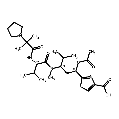 CC(=O)O[C@H](C[C@H](C(C)C)N(C)C(=O)[C@@H](NC(=O)C(C)(C)N1CCCC1)C(C)C)c1nc(C(=O)O)cs1